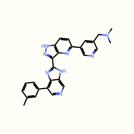 Cc1cccc(-c2cncc3[nH]c(-c4n[nH]c5ccc(-c6cncc(CN(C)C)c6)nc45)nc23)c1